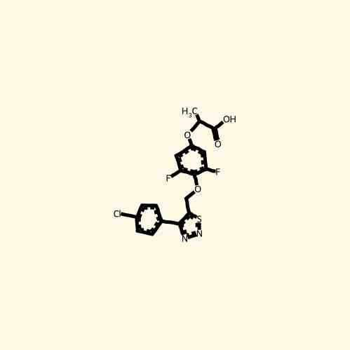 CC(Oc1cc(F)c(OCc2snnc2-c2ccc(Cl)cc2)c(F)c1)C(=O)O